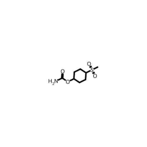 CS(=O)(=O)C1CCC(OC(N)=O)CC1